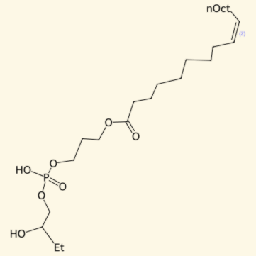 CCCCCCCC/C=C\CCCCCCCC(=O)OCCCOP(=O)(O)OCC(O)CC